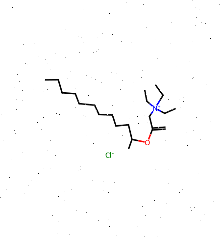 C=C(C[N+](CC)(CC)CC)OC(C)CCCCCCCCCC.[Cl-]